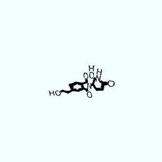 O=C1CCC(N2C(=O)c3ccc(CCO)cc3C2=O)C(O)N1